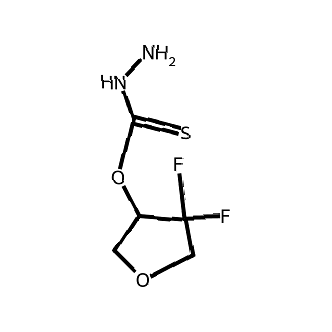 NNC(=S)OC1COCC1(F)F